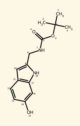 CC(C)(C)OC(=O)NCc1cc2ccc(O)cc2[nH]1